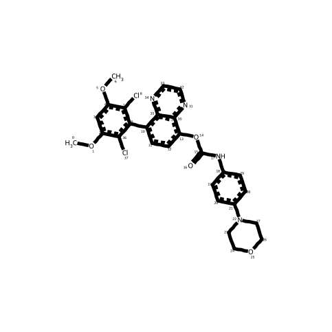 COc1cc(OC)c(Cl)c(-c2ccc(OC(=O)Nc3ccc(N4CCOCC4)cc3)c3nccnc23)c1Cl